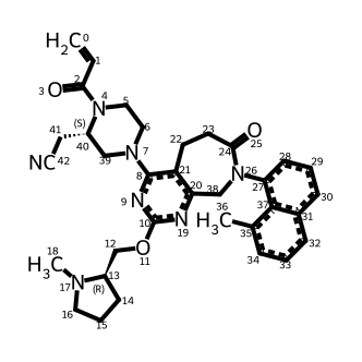 C=CC(=O)N1CCN(c2nc(OC[C@H]3CCCN3C)nc3c2CCC(=O)N(c2cccc4cccc(C)c24)C3)C[C@@H]1CC#N